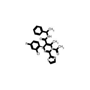 CC(=O)N1C(c2nccs2)=N[C@@H](c2ccc(F)cc2Cl)C(C(=O)NC(C)c2ccccc2)=C1C